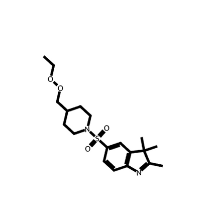 CCOOCC1CCN(S(=O)(=O)c2ccc3c(c2)C(C)(C)C(C)=N3)CC1